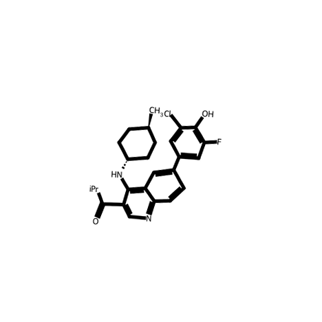 CC(C)C(=O)c1cnc2ccc(-c3cc(F)c(O)c(Cl)c3)cc2c1N[C@H]1CC[C@H](C)CC1